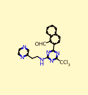 O=Cc1c(-c2nc(NCCc3cnccn3)nc(C(Cl)(Cl)Cl)n2)ccc2ccccc12